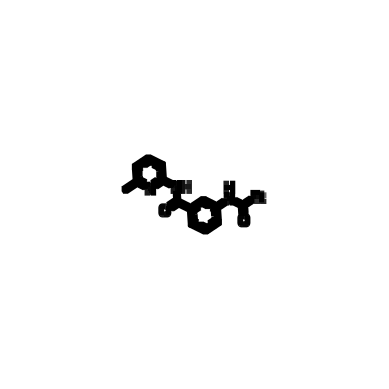 CCC(=O)Nc1cccc(C(=O)Nc2cccc(C)n2)c1